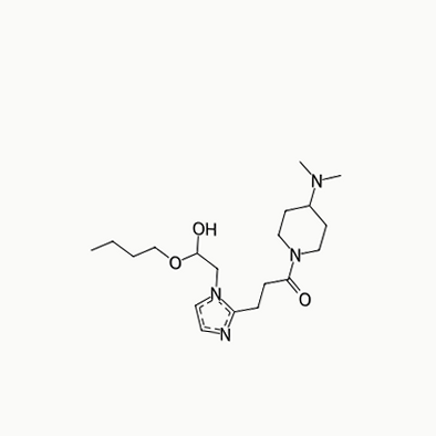 CCCCOC(O)Cn1ccnc1CCC(=O)N1CCC(N(C)C)CC1